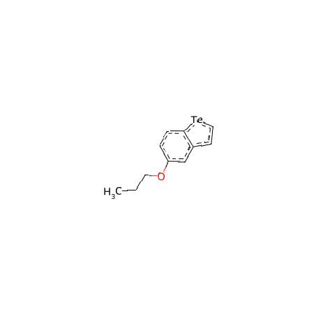 CCCOc1ccc2[te]ccc2c1